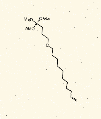 C=CCCCCCCCCCOCCC[Si](OC)(OC)OC